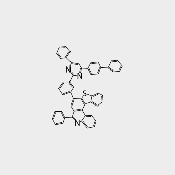 c1ccc(-c2ccc(-c3cc(-c4ccccc4)nc(-c4cccc(-c5cc6c(-c7ccccc7)nc7ccccc7c6c6c5sc5ccccc56)c4)n3)cc2)cc1